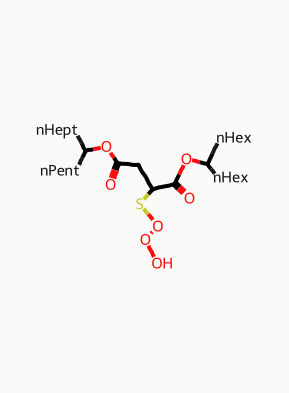 CCCCCCCC(CCCCC)OC(=O)CC(SOOO)C(=O)OC(CCCCCC)CCCCCC